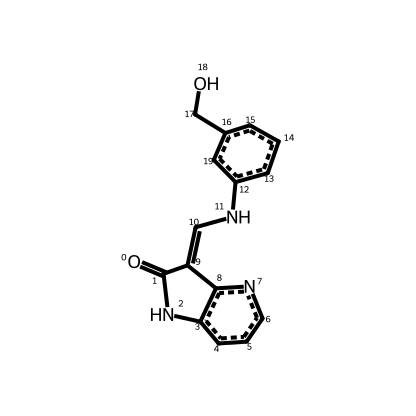 O=C1Nc2cccnc2/C1=C\Nc1cccc(CO)c1